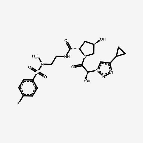 CN(CCNC(=O)[C@@H]1C[C@@H](O)CN1C(=O)[C@@H](n1cc(C2CC2)nn1)C(C)(C)C)S(=O)(=O)c1ccc(F)cc1